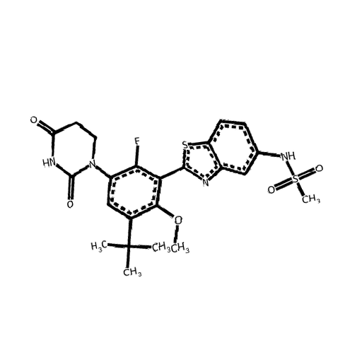 COc1c(C(C)(C)C)cc(N2CCC(=O)NC2=O)c(F)c1-c1nc2cc(NS(C)(=O)=O)ccc2s1